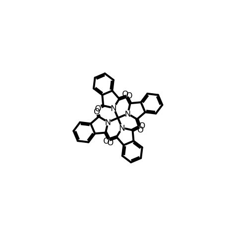 O=C1c2ccccc2C(=O)N1C(N1C(=O)c2ccccc2C1=O)(N1C(=O)c2ccccc2C1=O)N1C(=O)c2ccccc2C1=O